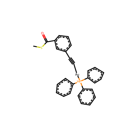 CSC(=O)c1cccc(C#[C][Au][PH](c2ccccc2)(c2ccccc2)c2ccccc2)c1